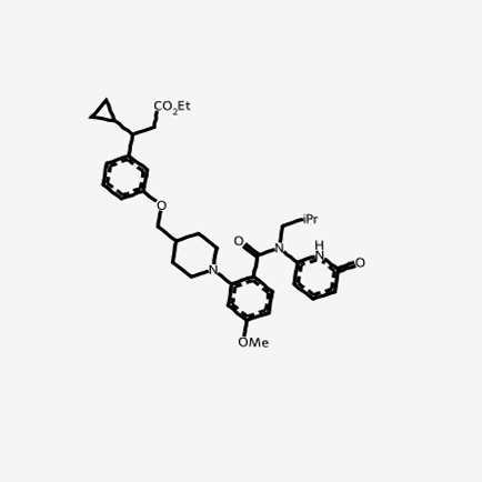 CCOC(=O)CC(c1cccc(OCC2CCN(c3cc(OC)ccc3C(=O)N(CC(C)C)c3cccc(=O)[nH]3)CC2)c1)C1CC1